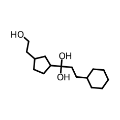 OCCC1CCC(C(O)(O)CCC2CCCCC2)C1